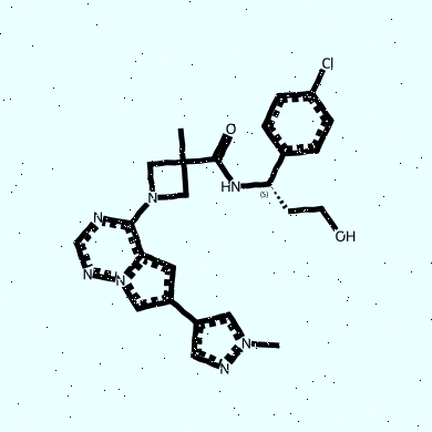 Cn1cc(-c2cc3c(N4CC(C)(C(=O)N[C@@H](CCO)c5ccc(Cl)cc5)C4)ncnn3c2)cn1